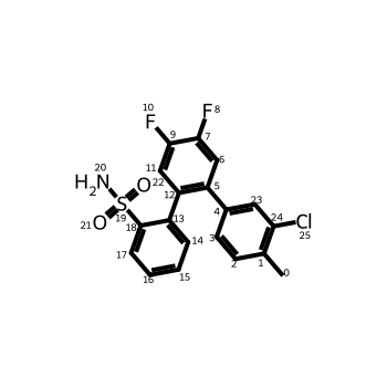 Cc1ccc(-c2cc(F)c(F)cc2-c2ccccc2S(N)(=O)=O)cc1Cl